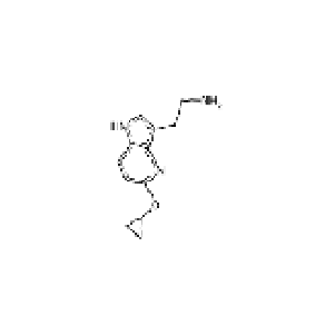 NCCc1c[nH]c2ccc(OC3CC3)nc12